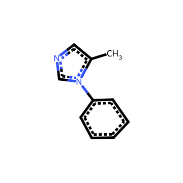 Cc1cncn1-c1ccccc1